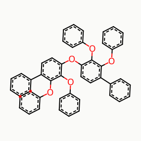 c1ccc(Oc2c(Oc3ccc(-c4ccccc4)c(Oc4ccccc4)c3Oc3ccccc3)ccc(-c3ccccc3)c2Oc2ccccc2)cc1